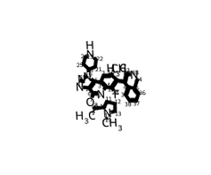 Cc1cc2c(nc(O[C@@H](C)C3CCCN3C)c3nnn(C4CCNCC4)c32)c(F)c1-c1c(C)ncc2ccccc12